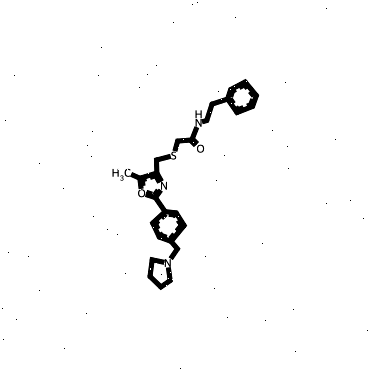 Cc1oc(-c2ccc(CN3CCCC3)cc2)nc1CSCC(=O)NCCc1ccccc1